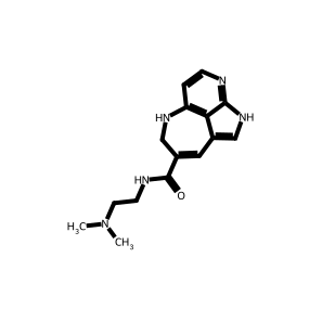 CN(C)CCNC(=O)C1=Cc2c[nH]c3nccc(c23)NC1